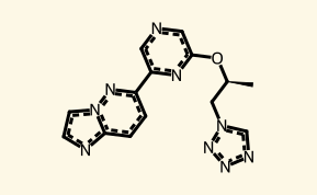 C[C@@H](Cn1cnnn1)Oc1cncc(-c2ccc3nccn3n2)n1